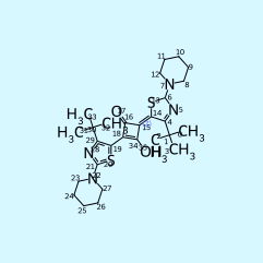 CC(C)(C)C1=NC(N2CCCCC2)S/C1=C1\C(=O)C(c2sc(N3CCCCC3)nc2C(C)(C)C)=C1O